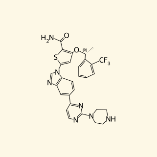 C[C@@H](Oc1cc(-n2cnc3cc(-c4ccnc(N5CCNCC5)n4)ccc32)sc1C(N)=O)c1ccccc1C(F)(F)F